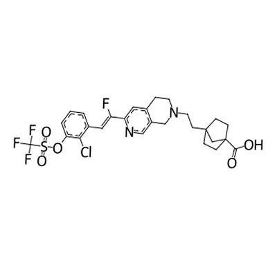 O=C(O)C12CCC(CCN3CCc4cc(/C(F)=C/c5cccc(OS(=O)(=O)C(F)(F)F)c5Cl)ncc4C3)(CC1)C2